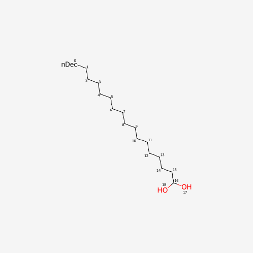 CCCCCCCCCCCCCCCCCCCCCCCCCC(O)O